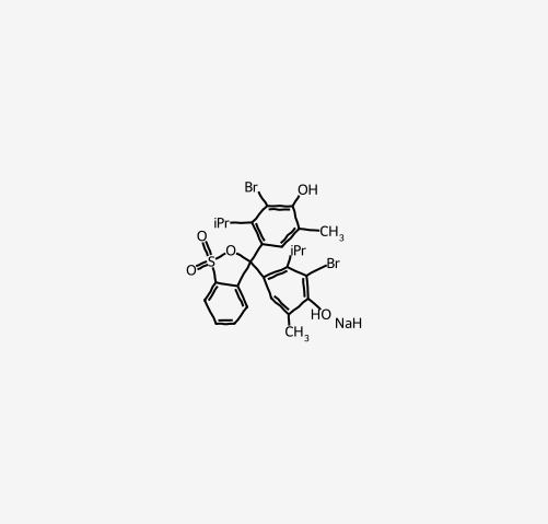 Cc1cc(C2(c3cc(C)c(O)c(Br)c3C(C)C)OS(=O)(=O)c3ccccc32)c(C(C)C)c(Br)c1O.[NaH]